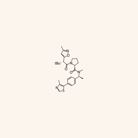 Cc1cc([C@H](C(=O)N2CCC[C@H]2C(=O)N(C)[C@@H](C)c2ccc(-c3scnc3C)cc2)C(C)(C)C)on1